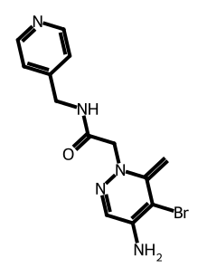 C=C1C(Br)=C(N)C=NN1CC(=O)NCc1ccncc1